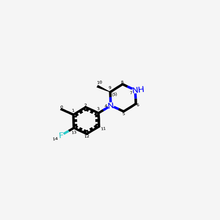 Cc1cc(N2CCNC[C@@H]2C)ccc1F